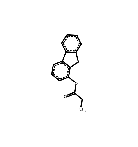 CCC(=O)Oc1cccc2c1Cc1ccccc1-2